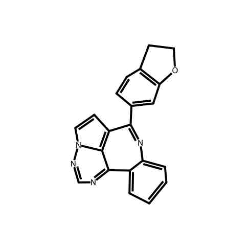 c1ccc2c(c1)N=C(c1ccc3c(c1)OCC3)c1ccn3ncnc-2c13